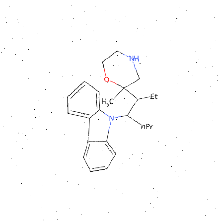 CCCC(C(CC)C1(C)CNCCO1)n1c2ccccc2c2ccccc21